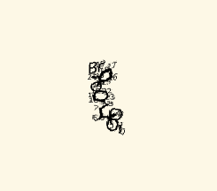 CCOC(=O)C(C)CC[C@H]1CC[C@H](Oc2cccc(Br)c2C)CC1